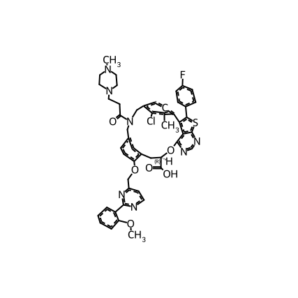 COc1ccccc1-c1nccc(COc2ccc3cc2C[C@H](C(=O)O)Oc2ncnc4sc(-c5ccc(F)cc5)c(c24)-c2ccc(c(Cl)c2C)CN(C(=O)CCN2CCN(C)CC2)C3)n1